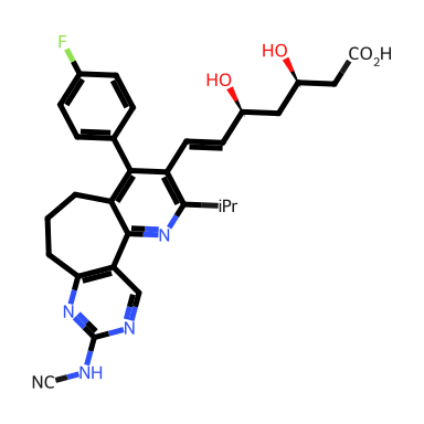 CC(C)c1nc2c(c(-c3ccc(F)cc3)c1/C=C/[C@@H](O)C[C@@H](O)CC(=O)O)CCCc1nc(NC#N)ncc1-2